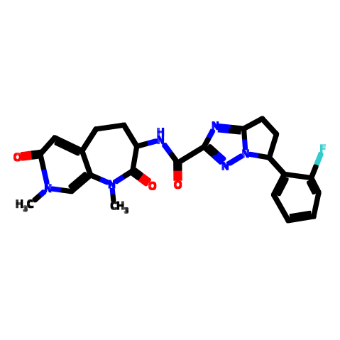 CN1C(=O)C(NC(=O)c2nc3n(n2)C(c2ccccc2F)CC3)CCc2cc(=O)n(C)cc21